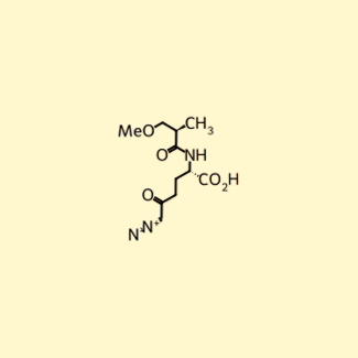 COC[C@@H](C)C(=O)N[C@@H](CCC(=O)C=[N+]=[N-])C(=O)O